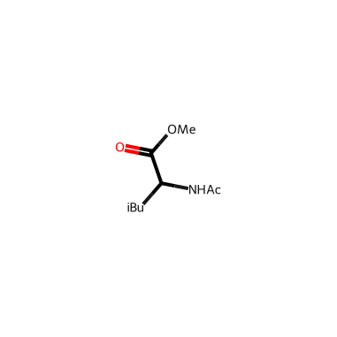 CCC(C)C(NC(C)=O)C(=O)OC